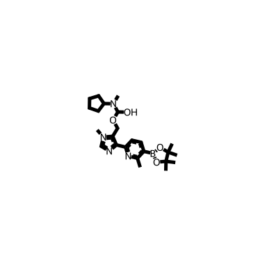 Cc1nc(-c2ncn(C)c2COC(O)N(C)C2CCCC2)ccc1B1OC(C)(C)C(C)(C)O1